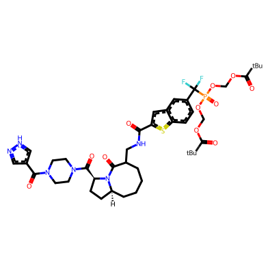 CC(C)(C)C(=O)OCOP(=O)(OCOC(=O)C(C)(C)C)C(F)(F)c1ccc2sc(C(=O)NCC3CCCC[C@H]4CC[C@@H](C(=O)N5CCN(C(=O)c6cn[nH]c6)CC5)N4C3=O)cc2c1